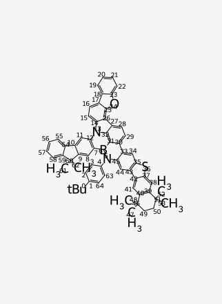 CC(C)(C)c1ccc(N2B3c4cc5c(cc4-n4c6ccc7c8ccccc8oc7c6c6ccc(c3c64)-c3cc4sc6cc7c(cc6c4cc32)C(C)(C)CCC7(C)C)-c2ccccc2C5(C)C)cc1